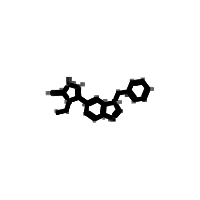 CCn1c(-c2ccc3ncn(Cc4ccccc4)c3c2)n[nH]c1=O